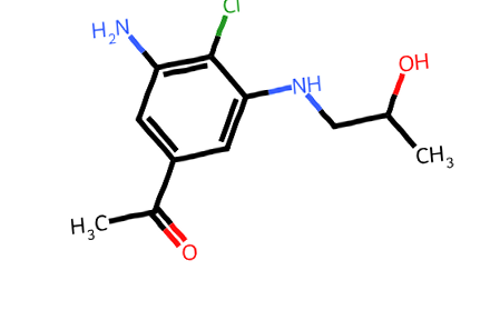 CC(=O)c1cc(N)c(Cl)c(NCC(C)O)c1